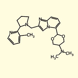 Cc1cccnc1C1CCCN1Cc1cn2c(C3OCC(N(C)C)CO3)cccc2n1